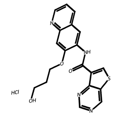 Cl.O=C(Nc1cc2cccnc2cc1OCCCO)c1csc2cncnc12